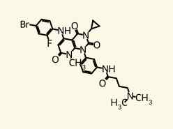 CN(C)CCCC(=O)Nc1cccc(-n2c(=O)n(C3CC3)c(=O)c3c(Nc4ccc(Br)cc4F)cc(=O)n(C)c32)c1